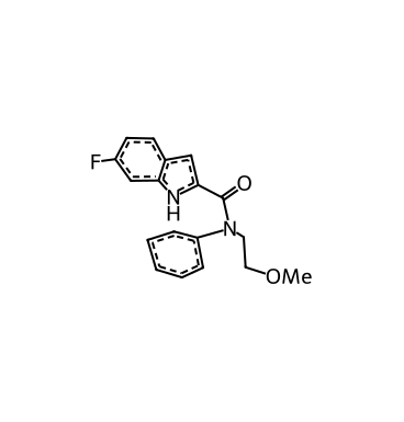 COCCN(C(=O)c1cc2ccc(F)cc2[nH]1)c1ccccc1